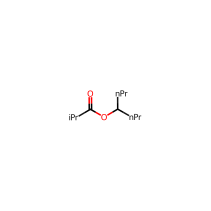 CCCC(CCC)OC(=O)C(C)C